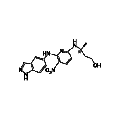 C[C@@H](CCO)Nc1ccc([N+](=O)[O-])c(Nc2ccc3[nH]ncc3c2)n1